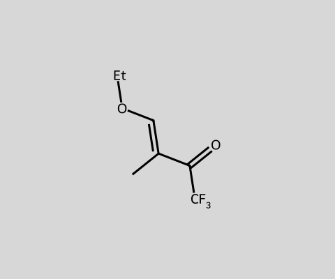 CCO/C=C(\C)C(=O)C(F)(F)F